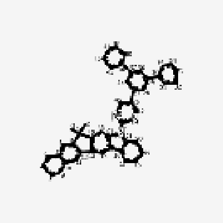 CC1(C)c2cc3ccccc3cc2-c2cc3c4ccccc4n(-c4ncc(-c5cc(-c6ccccc6)cc(-c6ccccc6)c5)cn4)c3cc21